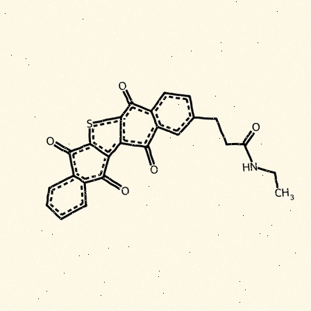 CCNC(=O)CCc1ccc2c(=O)c3sc4c(=O)c5ccccc5c(=O)c4c3c(=O)c2c1